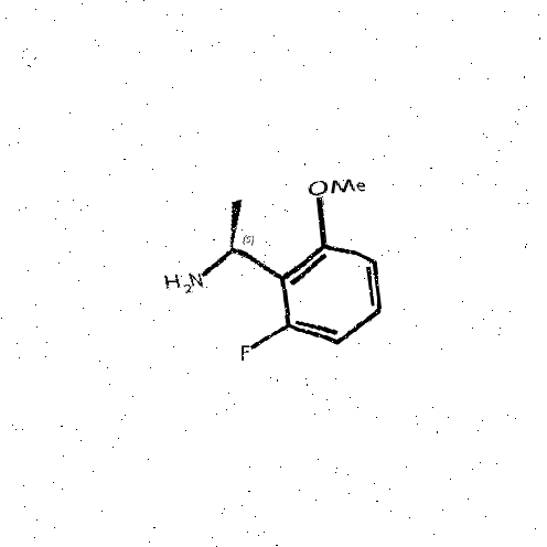 COc1cccc(F)c1[C@H](C)N